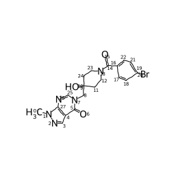 Cn1ncc2c(=O)n(CC3(O)CCN(C(=O)c4ccc(Br)cc4)CC3)cnc21